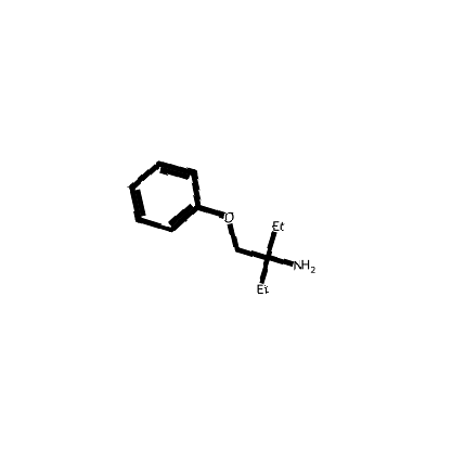 CCC(N)(CC)COc1cc[c]cc1